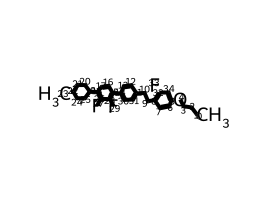 CCCCOc1ccc(CCc2ccc(-c3ccc(C4CCC(C)CC4)c(F)c3F)cc2)c(F)c1